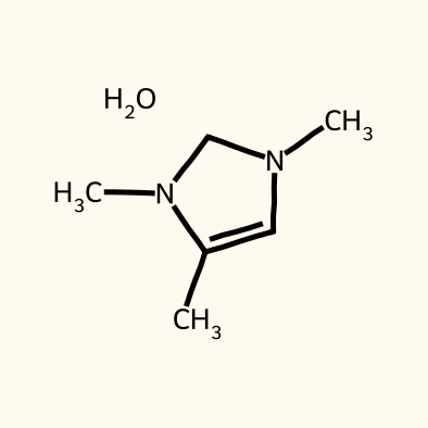 CC1=CN(C)CN1C.O